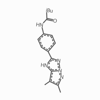 CCC(C)C(=O)Nc1ccc(-c2nn3nc(C)c(C)c3[nH]2)cc1